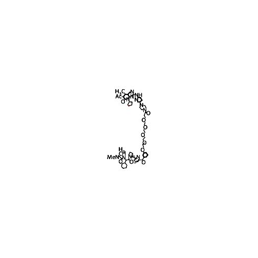 CNC(C)C(=O)NC(C(=O)N1CCC[C@H]1c1nc(C(=O)c2cccc(OCCOCCOCCOCCOCCC(=O)N3CCN(c4ccc(Nc5ncc6c(C)c(C(C)=O)c(=O)n(C7CCCC7)c6n5)nc4)CC3)c2)cs1)C1CCCCC1